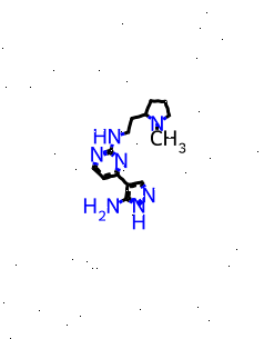 CN1CCCC1CCNc1nccc(-c2cn[nH]c2N)n1